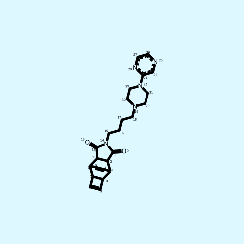 O=C1C2C3C=CC(C4C=CC43)C2C(=O)N1CCCCN1CCN(c2cnccn2)CC1